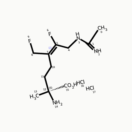 CC(=N)NC/C(F)=C(/CF)CC[C@](C)(N)C(=O)O.Cl.Cl